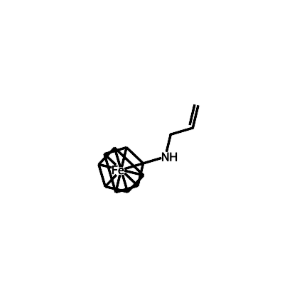 C=CCN[C]12[CH]3[CH]4[CH]5[CH]1[Fe]45321678[CH]2[CH]1[CH]6[CH]7[CH]28